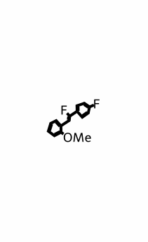 COc1ccccc1C=C(F)c1ccc(F)cc1